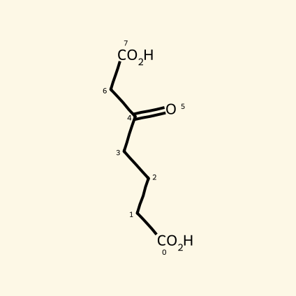 O=C(O)CCCC(=O)CC(=O)O